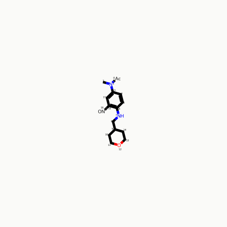 CC(=O)N(C)c1ccc(NCC2CCOCC2)c(N=O)c1